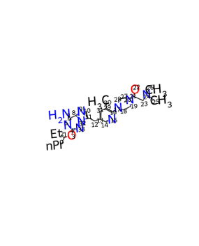 CCCC(CC)Oc1nc(N)c2ncc(Cc3cnc(N4CCN(C(=O)CN(C)C)CC4)c(C)c3)n2n1